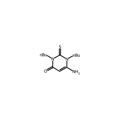 CCCCn1c(N)cc(=O)n(CCCC)c1=S